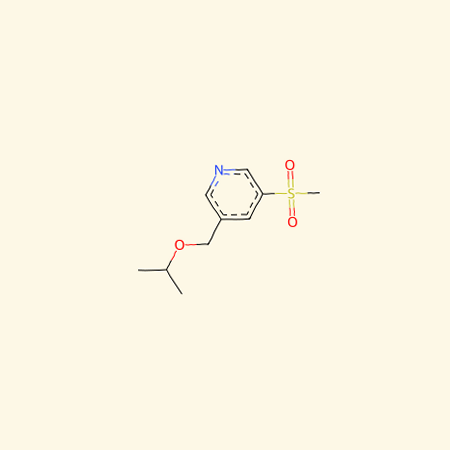 CC(C)OCc1cncc(S(C)(=O)=O)c1